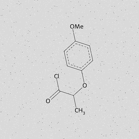 COc1ccc(OC(C)C(=O)Cl)cc1